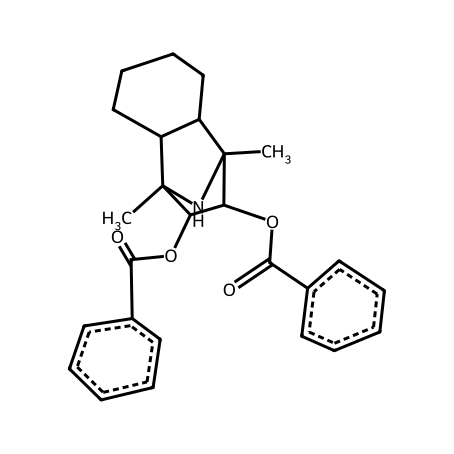 CC12NC(C)(C3CCCCC31)C(OC(=O)c1ccccc1)C2OC(=O)c1ccccc1